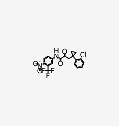 O=C(CC1(c2ccccc2Cl)CC1)C(=O)Nc1ccc([N+](=O)[O-])c(C(F)(F)F)c1